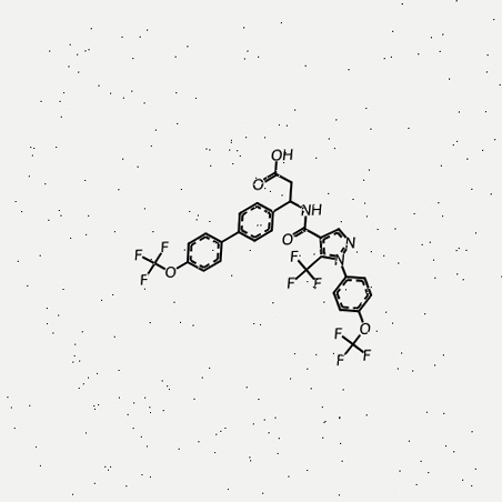 O=C(O)CC(NC(=O)c1cnn(-c2ccc(OC(F)(F)F)cc2)c1C(F)(F)F)c1ccc(-c2ccc(OC(F)(F)F)cc2)cc1